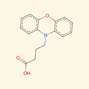 O=C(O)CCCN1c2ccccc2Oc2ccccc21